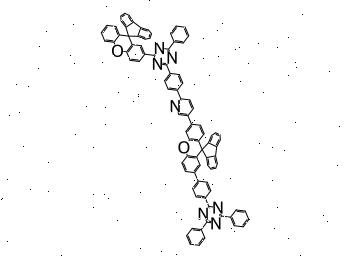 c1ccc(-c2nc(-c3ccccc3)nc(-c3ccc(-c4ccc5c(c4)C4(c6ccc(-c7ccc(-c8ccc(-c9nc(-c%10ccccc%10)nc(-c%10ccc%11c(c%10)C%10(c%12ccccc%12O%11)c%11ccccc%11-c%11ccccc%11%10)n9)cc8)nc7)cc6O5)c5ccccc5-c5ccccc54)cc3)n2)cc1